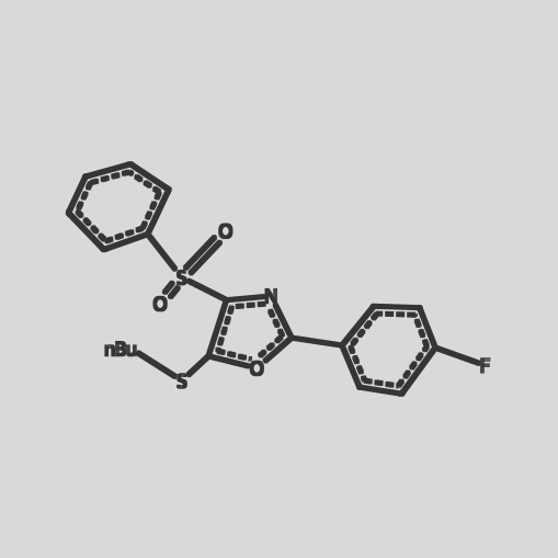 CCCCSc1oc(-c2ccc(F)cc2)nc1S(=O)(=O)c1ccccc1